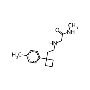 CNC(=O)CNCCC1(c2ccc(C)cc2)CCC1